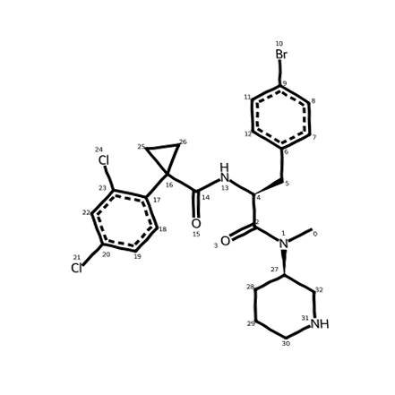 CN(C(=O)[C@H](Cc1ccc(Br)cc1)NC(=O)C1(c2ccc(Cl)cc2Cl)CC1)[C@@H]1CCCNC1